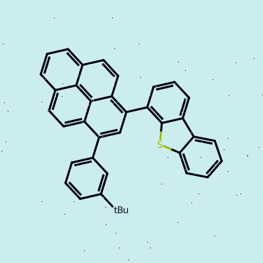 CC(C)(C)c1cccc(-c2cc(-c3cccc4c3sc3ccccc34)c3ccc4cccc5ccc2c3c54)c1